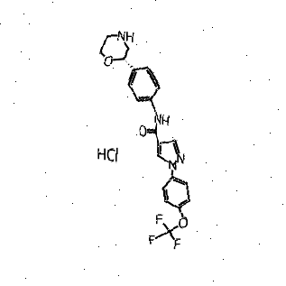 Cl.O=C(Nc1ccc([C@H]2CNCCO2)cc1)c1cnn(-c2ccc(OC(F)(F)F)cc2)c1